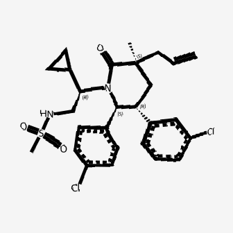 C=CC[C@@]1(C)C[C@H](c2cccc(Cl)c2)[C@@H](c2ccc(Cl)cc2)N([C@@H](CNS(C)(=O)=O)C2CC2)C1=O